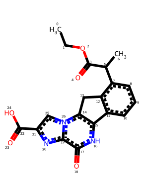 CCOC(=O)C(C)c1cccc2c1Cc1c-2[nH]c(=O)c2nc(C(=O)O)cn12